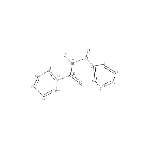 CC(c1ccccc1)N(C)C(=O)c1ccccc1